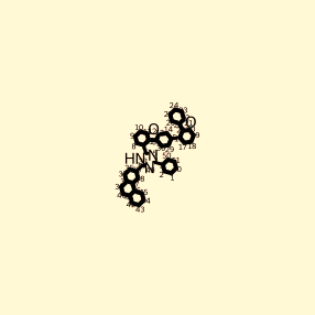 c1ccc(C2=NC(c3cccc4oc5cc(-c6cccc7oc8ccccc8c67)ccc5c34)NC(c3ccc4ccc5ccccc5c4c3)=N2)cc1